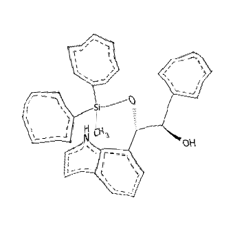 C[Si](O[C@@H](c1cccc2cc[nH]c12)[C@H](O)c1ccccc1)(c1ccccc1)c1ccccc1